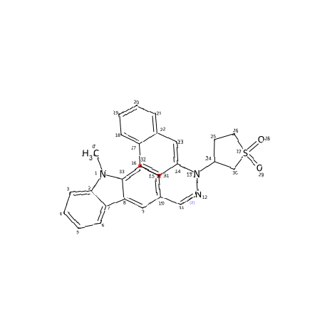 Cn1c2ccccc2c2cc(/C=N\N(c3ccc4ccccc4c3)C3CCS(=O)(=O)C3)ccc21